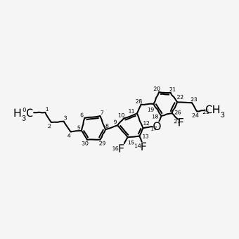 CCCCCc1ccc(-c2cc3c(c(F)c2F)Oc2c(ccc(CCC)c2F)C3)cc1